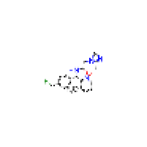 Cc1nccn1CC(=O)N[C@@H](c1ccc(CF)cc1)c1ncccc1C(F)(F)F